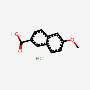 COc1ccc2cc(C(=O)O)ccc2c1.Cl